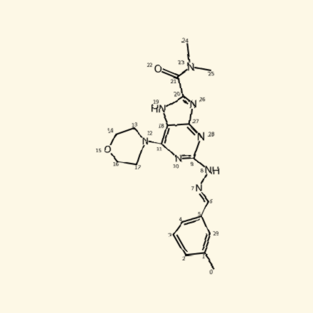 Cc1cccc(/C=N/Nc2nc(N3CCOCC3)c3[nH]c(C(=O)N(C)C)nc3n2)c1